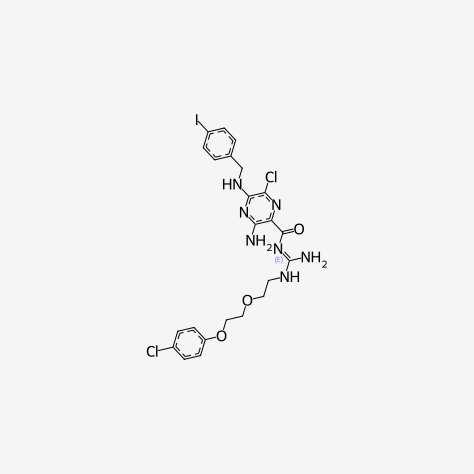 N/C(=N\C(=O)c1nc(Cl)c(NCc2ccc(I)cc2)nc1N)NCCOCCOc1ccc(Cl)cc1